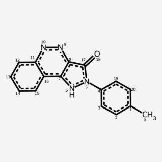 Cc1ccc(-n2[nH]c3c(nnc4ccccc43)c2=O)cc1